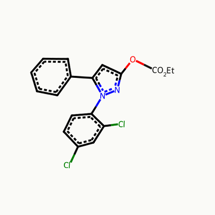 CCOC(=O)Oc1cc(-c2ccccc2)n(-c2ccc(Cl)cc2Cl)n1